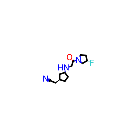 N#CC[C@@H]1CC[C@H](NCC(=O)N2CC[C@H](F)C2)C1